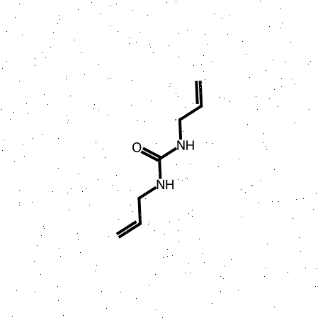 C=C[CH]NC(=O)NCC=C